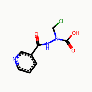 O=C(NN(CCl)C(=O)O)c1cccnc1